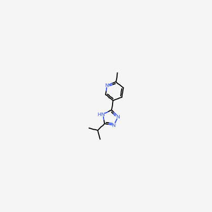 Cc1ccc(-c2nnc(C(C)C)[nH]2)cn1